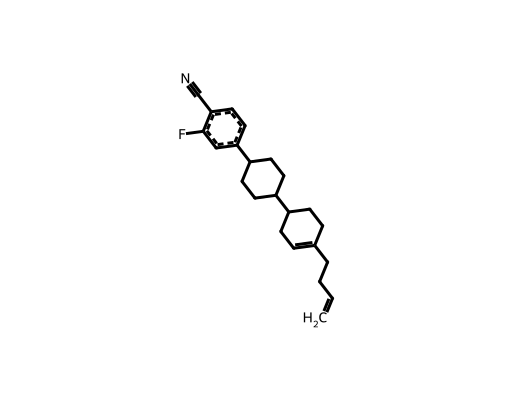 C=CCCC1=CCC(C2CCC(c3ccc(C#N)c(F)c3)CC2)CC1